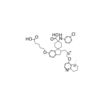 C[C@@H](COc1ccnc2c1[C@H](C)CCC2)CC1Cc2ccc(OCCCCC(=O)O)cc2C12CCC(Nc1cccc(Cl)c1)(C(=O)O)CC2